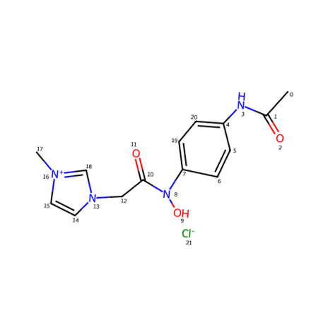 CC(=O)Nc1ccc(N(O)C(=O)Cn2cc[n+](C)c2)cc1.[Cl-]